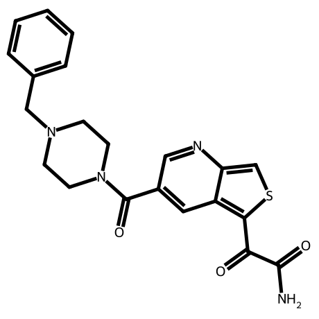 NC(=O)C(=O)c1scc2ncc(C(=O)N3CCN(Cc4ccccc4)CC3)cc12